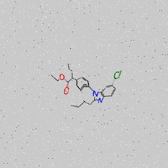 CCCCc1nc2ccc(Cl)cc2n1-c1ccc(C(CCC)C(=O)OCC)cc1